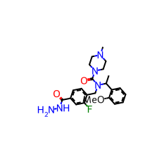 COc1ccccc1C(C)N(Cc1ccc(C(=O)NN)cc1F)C(=O)N1CCN(C)CC1